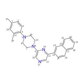 Cc1ccc(N2CCN(c3cncc(-c4ccc5ccccc5c4)n3)CC2)c(C)c1